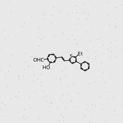 CCc1sc(/C=C/c2ccc(C=O)c(O)c2)cc1-c1ccccc1